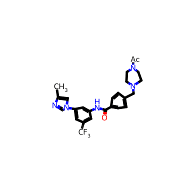 CC(=O)N1CCN(Cc2ccc(C(=O)Nc3cc(-n4cnc(C)c4)cc(C(F)(F)F)c3)cc2)CC1